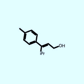 Cc1ccc(C(=CCO)C(C)C)cc1